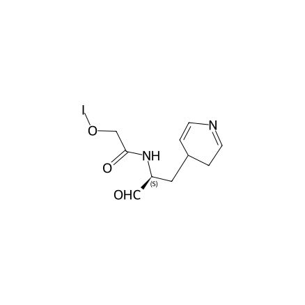 O=C[C@H](CC1C=CN=CC1)NC(=O)COI